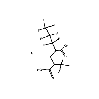 CC(C)(C)C(CC(C(=O)O)C(F)(F)C(F)(F)C(F)(F)F)C(=O)O.[Ag]